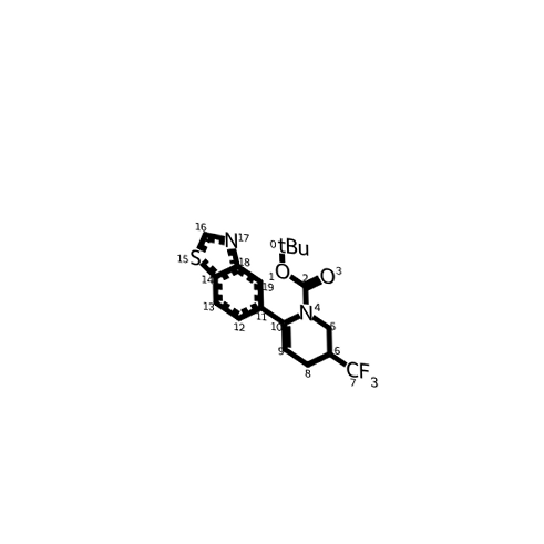 CC(C)(C)OC(=O)N1CC(C(F)(F)F)CC=C1c1ccc2scnc2c1